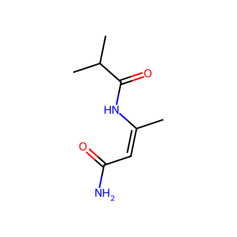 C/C(=C/C(N)=O)NC(=O)C(C)C